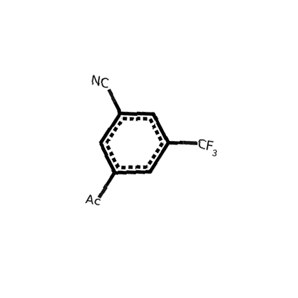 CC(=O)c1cc(C#N)cc(C(F)(F)F)c1